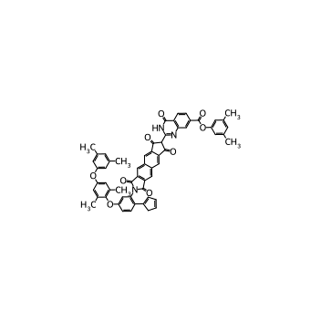 Cc1cc(C)cc(OC(=O)c2ccc3c(=O)[nH]c(C4C(=O)c5cc6cc7c(cc6cc5C4=O)C(=O)N(c4cc(Oc5c(C)cc(Oc6cc(C)cc(C)c6)cc5C)ccc4C4=CC=CC4)C7=O)nc3c2)c1